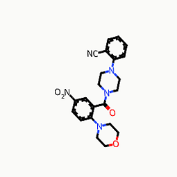 N#Cc1ccccc1N1CCN(C(=O)c2cc([N+](=O)[O-])ccc2N2CCOCC2)CC1